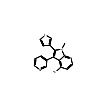 Cn1c(-c2ccoc2)c(-c2cccnc2)c2c(C#N)ccnc21